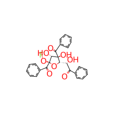 O=C(c1ccccc1)C(O)[C@@H]1O[C@](OF)(C(=O)c2ccccc2)[C@H](O)[C@]1(O)C(=O)c1ccccc1